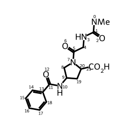 CNC(=O)NCC(=O)N1CC(NC(=O)c2ccccc2)CC1C(=O)O